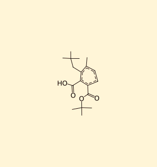 Cc1ccc(C(=O)OC(C)(C)C)c(C(=O)O)c1CC(C)(C)C